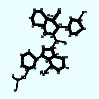 CC(C)Oc1cccc(-c2nn(C(C)c3oc4ccccc4c(=O)c3-c3cccc(F)c3)c3ncnc(N)c23)c1